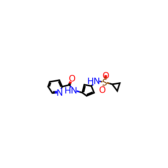 O=C(NC1=CC(NS(=O)(=O)C2CC2)C=C1)c1ccccn1